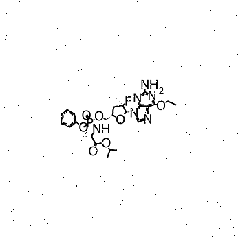 CCOc1nc(N)nc2c1ncn2[C@@H]1O[C@H](CO[P@](=O)(N[C@@H](C)C(=O)OC(C)C)Oc2ccccc2)C[C@@]1(C)F